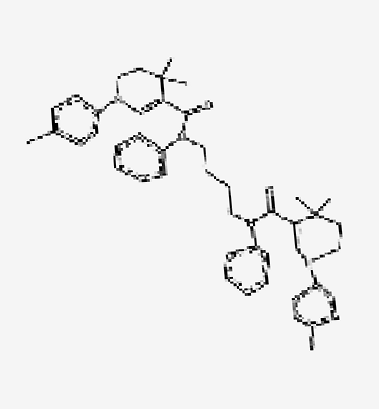 Cc1ccc(N2C=C(C(=O)N(CCCCN(C(=O)C3=CN(c4ccc(C)cc4)CCC3(C)C)c3ccccc3)c3ccccc3)C(C)(C)CC2)cc1